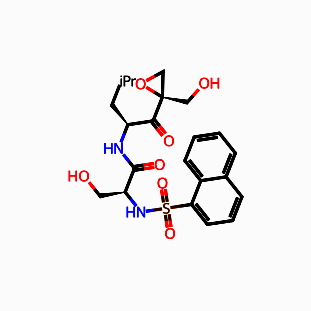 CC(C)C[C@H](NC(=O)[C@H](CO)NS(=O)(=O)c1cccc2ccccc12)C(=O)[C@@]1(CO)CO1